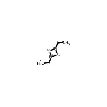 C[CH2][Bi]1[S][Bi]([CH2]C)[S]1